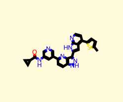 Cc1ccc(-c2ccnc3[nH]c(-c4n[nH]c5ccc(-c6cncc(NC(=O)C7CC7)c6)nc45)cc23)s1